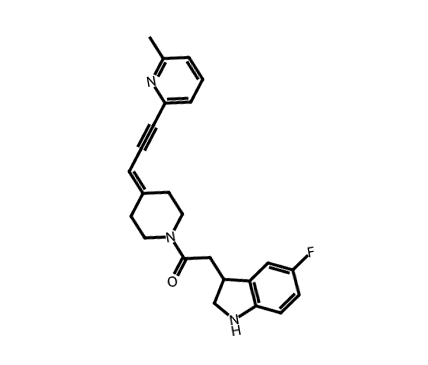 Cc1cccc(C#CC=C2CCN(C(=O)CC3CNc4ccc(F)cc43)CC2)n1